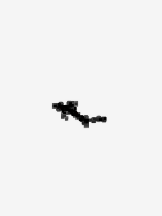 COCCOCCOCCCNS(=O)(=O)c1ccc(N=Nc2cc(OC)c(N=Nc3c(S(=O)(=O)O)cc4cc(S(=O)(=O)O)cc(N)c4c3O)cc2C)cc1